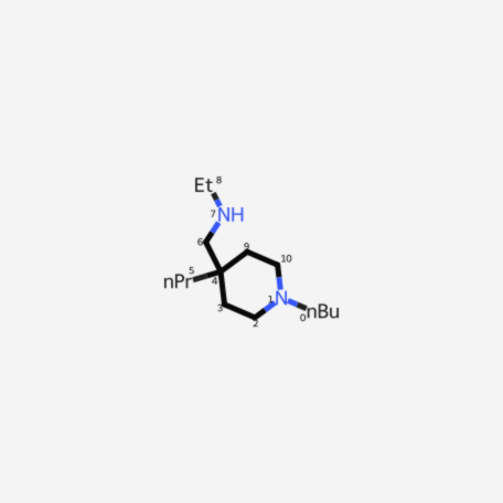 CCCCN1CCC(CCC)(CNCC)CC1